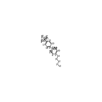 CCCCCc1cnc(-c2ccc(C(F)(F)F)cc2)nc1